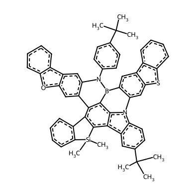 CC(C)(C)c1ccc(N2B3c4cc5c(cc4-n4c6ccc(C(C)(C)C)cc6c6c7c(c(c3c64)-c3cc4oc6ccccc6c4cc32)-c2ccccc2[Si]7(C)C)sc2ccccc25)cc1